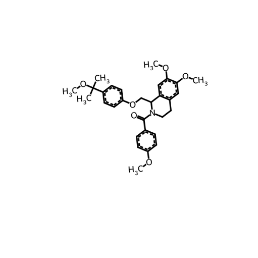 COc1ccc(C(=O)N2CCc3cc(OC)c(OC)cc3C2COc2ccc(C(C)(C)OC)cc2)cc1